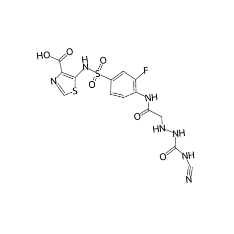 N#CNC(=O)NNCC(=O)Nc1ccc(S(=O)(=O)Nc2scnc2C(=O)O)cc1F